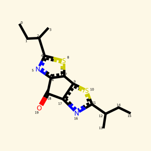 CCC(C)c1nc2c(s1)-c1sc(C(C)CC)nc1C2=O